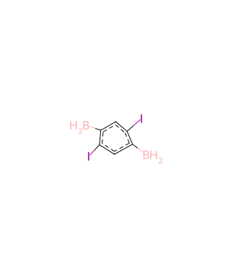 Bc1cc(I)c(B)cc1I